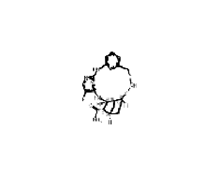 NC(=O)[C@H]1[C@@H]2C[C@H]3CNCCc4cccc(c4)Nc4ncc(F)c(n4)N[C@@H]1[C@@H]3C2